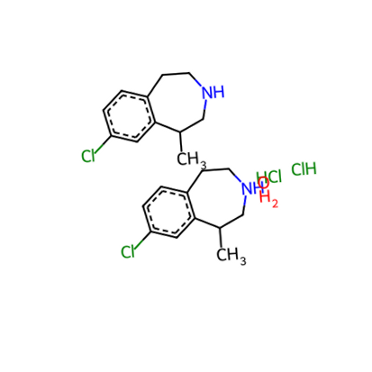 CC1CNCCc2ccc(Cl)cc21.CC1CNCCc2ccc(Cl)cc21.Cl.Cl.O